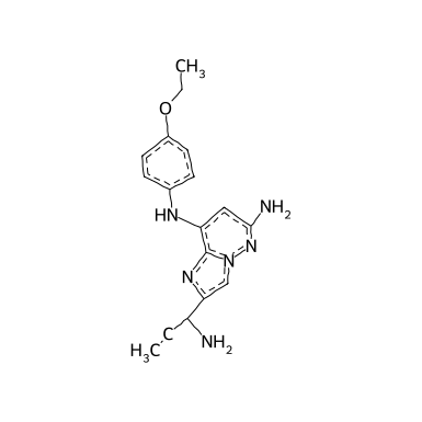 CCOc1ccc(Nc2cc(N)nn3cc(C(N)CC)nc23)cc1